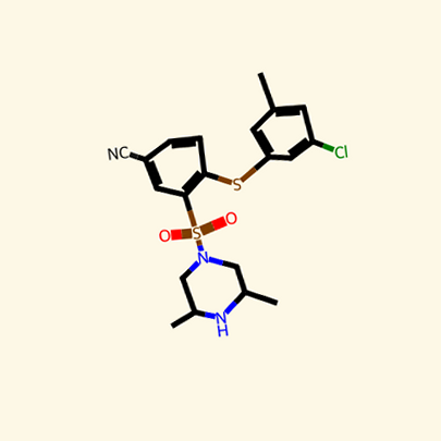 Cc1cc(Cl)cc(Sc2ccc(C#N)cc2S(=O)(=O)N2CC(C)NC(C)C2)c1